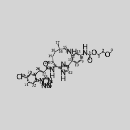 COCCOC(=O)Nc1ccc2c(c1)NC[C@H](C)CCC[C@H](NC(=O)/C=C/c1cc(Cl)ccc1-n1cnnn1)c1nc-2c[nH]1